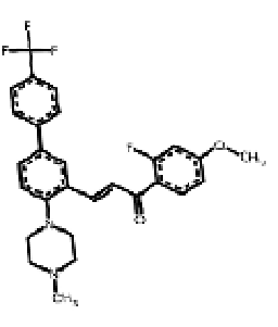 COc1ccc(C(=O)C=Cc2cc(-c3ccc(C(F)(F)F)cc3)ccc2N2CCN(C)CC2)c(F)c1